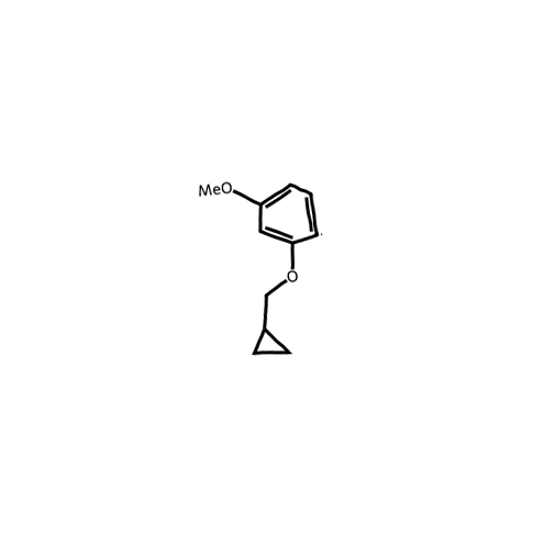 COc1cc[c]c(OCC2CC2)c1